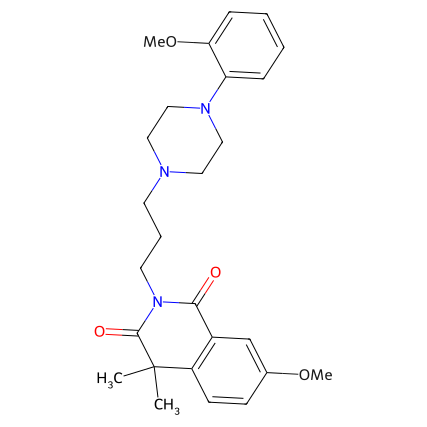 COc1ccc2c(c1)C(=O)N(CCCN1CCN(c3ccccc3OC)CC1)C(=O)C2(C)C